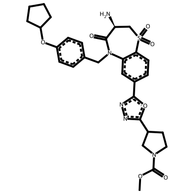 COC(=O)N1CCC(c2nnc(-c3ccc4c(c3)N(Cc3ccc(OC5CCCC5)cc3)C(=O)[C@@H](N)CS4(=O)=O)o2)C1